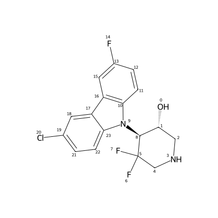 O[C@@H]1CNCC(F)(F)[C@H]1n1c2ccc(F)cc2c2cc(Cl)ccc21